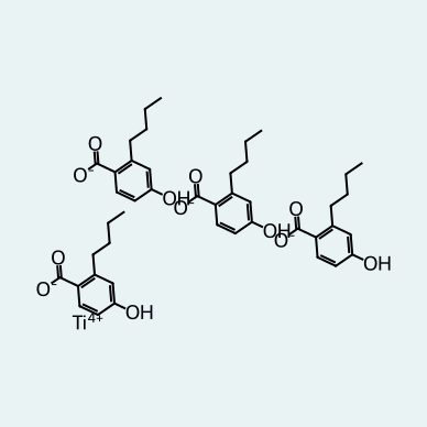 CCCCc1cc(O)ccc1C(=O)[O-].CCCCc1cc(O)ccc1C(=O)[O-].CCCCc1cc(O)ccc1C(=O)[O-].CCCCc1cc(O)ccc1C(=O)[O-].[Ti+4]